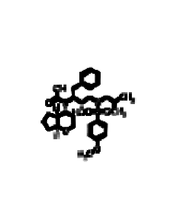 COc1ccc(S(=O)(=O)N(CC(C)C)C[C@H](O)[C@H](Cc2ccccc2)N(C(=O)O)[C@H]2CCO[C@H]3CCC[C@@H]32)cc1